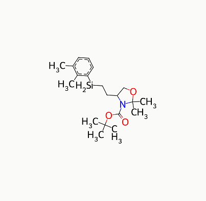 Cc1cccc([SiH2]CCC2COC(C)(C)N2C(=O)OC(C)(C)C)c1C